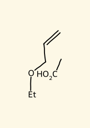 C=CCOCC.CC(=O)O